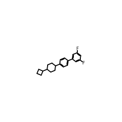 Fc1cc(F)cc(-c2ccc(C3CCC(C4CCC4)CC3)cc2)c1